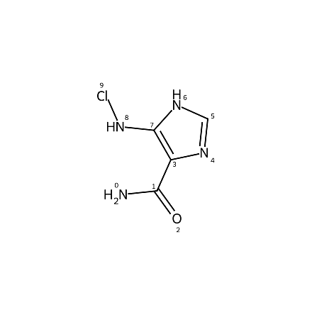 NC(=O)c1nc[nH]c1NCl